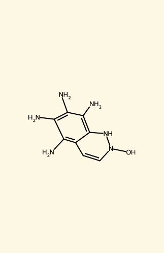 Nc1c(N)c(N)c2c(c1N)C=CN(O)N2